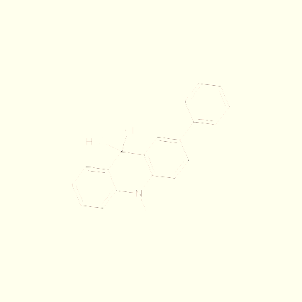 CC1(C)c2ccccc2N(I)c2ccc(-c3ccccc3)cc21